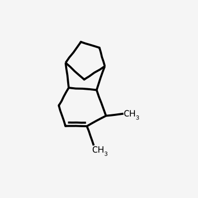 CC1=CCC2C3CCC(C3)C2C1C